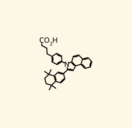 CC1(C)CCC(C)(C)c2cc(-c3cc4c5ccccc5ccc4n3-c3ccc(CCCC(=O)O)cc3)ccc21